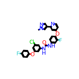 Cn1cc(-c2cc(Oc3ccc(NC(=O)Nc4cc(Cl)cc(Oc5ccc(F)cc5)c4)cc3F)ccn2)cn1